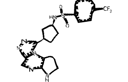 O=S(=O)(N[C@H]1CC[C@@H](c2nnc3cnc4c(n23)CCN4)C1)c1ccc(C(F)(F)F)cc1